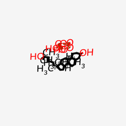 CC(CCCC(C)(C)O)[C@H]1CC[C@H]2[C@@H]3CC=C4CC(O)CC[C@]4(C)[C@H]3CC[C@]12C.O=S(=O)(O)OS(=O)(=O)O